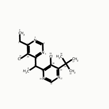 CCc1ncnc(C(C)c2ncnc(C(C)(C)C)c2Cl)c1Cl